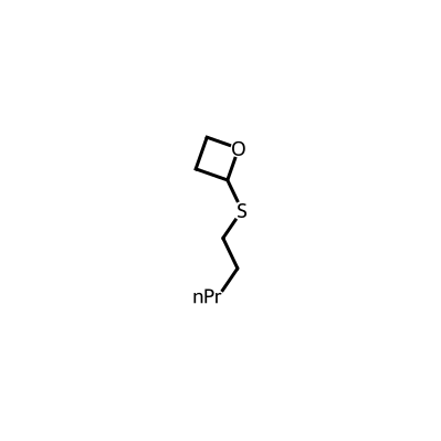 CCCCCSC1CCO1